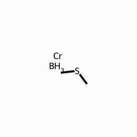 B.CSC.[Cr]